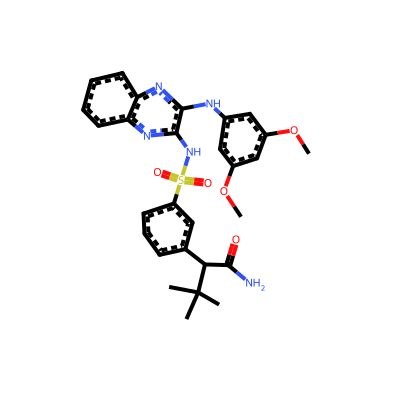 COc1cc(Nc2nc3ccccc3nc2NS(=O)(=O)c2cccc(C(C(N)=O)C(C)(C)C)c2)cc(OC)c1